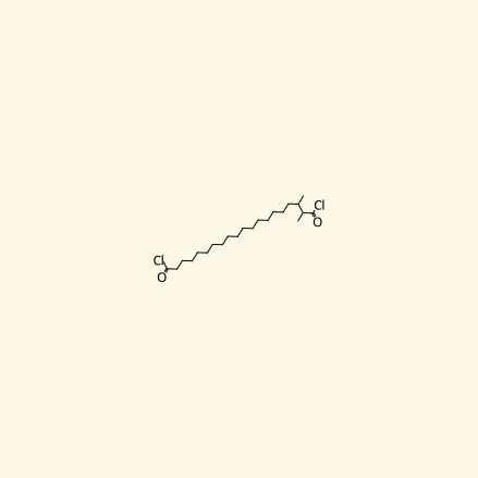 CC(CCCCCCCCCCCCCCCCC(=O)Cl)C(C)C(=O)Cl